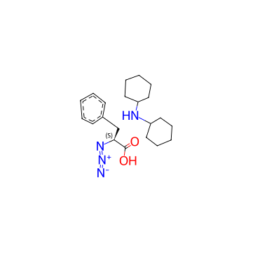 C1CCC(NC2CCCCC2)CC1.[N-]=[N+]=N[C@@H](Cc1ccccc1)C(=O)O